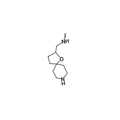 INCC1CCC2(CCNCC2)O1